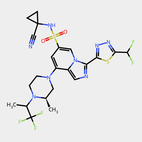 CC(N1CCN(c2cc(S(=O)(=O)NC3(C#N)CC3)cn3c(-c4nnc(C(F)F)s4)ncc23)C[C@H]1C)C(F)(F)F